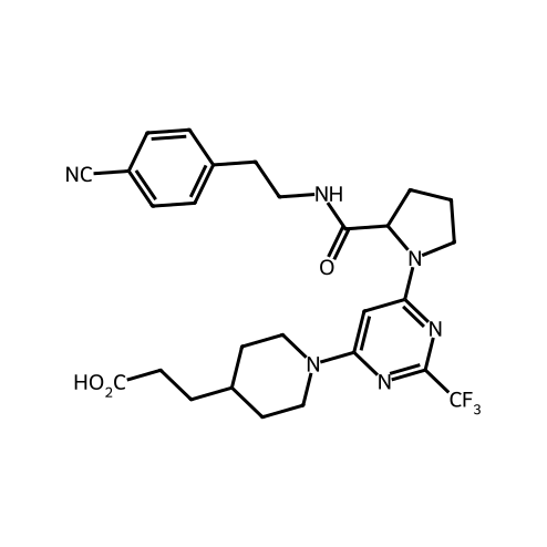 N#Cc1ccc(CCNC(=O)C2CCCN2c2cc(N3CCC(CCC(=O)O)CC3)nc(C(F)(F)F)n2)cc1